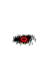 Bc1c(B)c(B)c2c(oc3c(B)c(B)c(-c4c5c(B)c(B)c(B)c(B)c5c(-c5c(B)c(B)c6c(B)c(-c7ccc8ccccc8c7)c(B)c(B)c6c5B)c5c(B)c(B)c(B)c(B)c45)c(B)c32)c1B